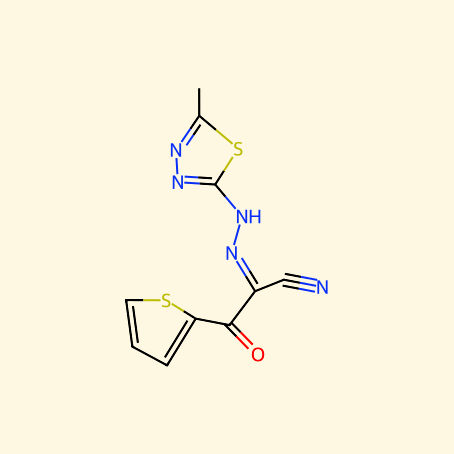 Cc1nnc(N/N=C(\C#N)C(=O)c2cccs2)s1